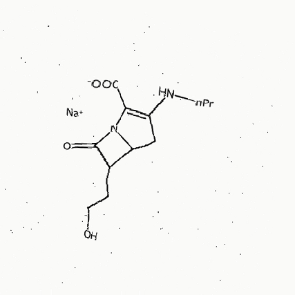 CCCNC1=C(C(=O)[O-])N2C(=O)C(CCO)C2C1.[Na+]